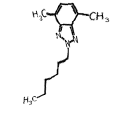 CCCCCCn1nc2c(C)ccc(C)c2n1